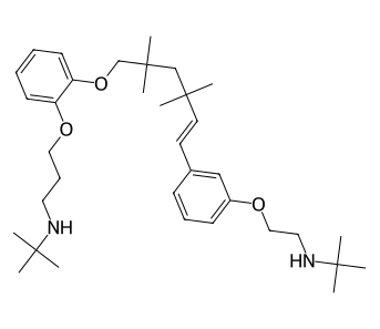 CC(C)(/C=C/c1cccc(OCCNC(C)(C)C)c1)CC(C)(C)COc1ccccc1OCCCNC(C)(C)C